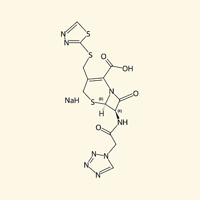 O=C(Cn1cnnn1)N[C@@H]1C(=O)N2C(C(=O)O)=C(CSc3nncs3)CS[C@H]12.[NaH]